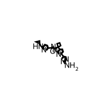 Nc1ncc(-c2ccc(C3(c4noc(-c5ccc(NC6CC6)nc5)n4)CCC3)cn2)cn1